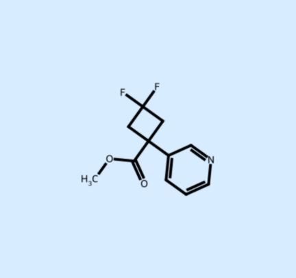 COC(=O)C1(c2cccnc2)CC(F)(F)C1